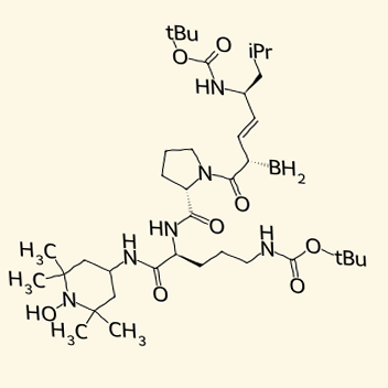 B[C@@H](/C=C/[C@H](CC(C)C)NC(=O)OC(C)(C)C)C(=O)N1CCC[C@H]1C(=O)N[C@@H](CCCNC(=O)OC(C)(C)C)C(=O)NC1CC(C)(C)N(O)C(C)(C)C1